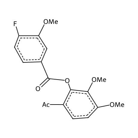 COc1cc(C(=O)Oc2c(C(C)=O)ccc(OC)c2OC)ccc1F